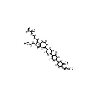 C=C(C)C(=O)OCCCC(CCCO)C1=C(F)C=C(C2CCC(c3ccc(-c4ccc(CCCCC)c(CC)c4)cc3F)CC2)CC=C1